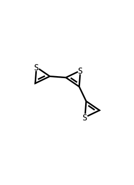 C1=C(C2=C(C3=CS3)S2)S1